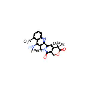 CCCCCNc1c2c(nc3cccc([N+](=O)[O-])c13)-c1cc3c(c(=O)n1C2)COC(=O)[C@@]3(CC)OC(C)=O